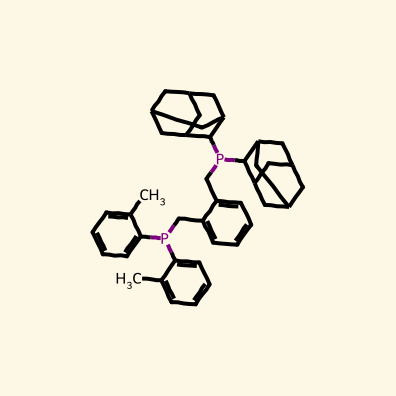 Cc1ccccc1P(Cc1ccccc1CP(C1C2CC3CC(C2)CC1C3)C1C2CC3CC(C2)CC1C3)c1ccccc1C